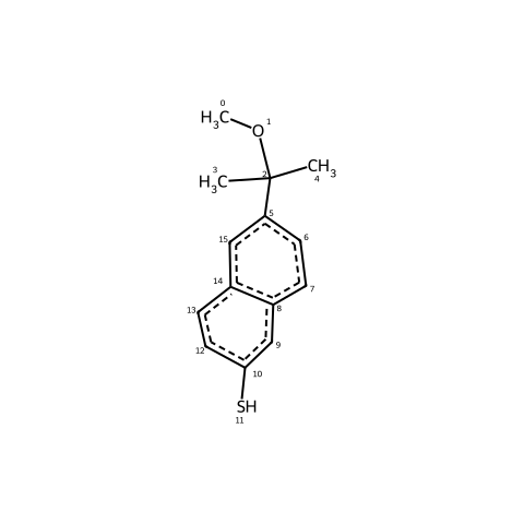 COC(C)(C)c1ccc2cc(S)ccc2c1